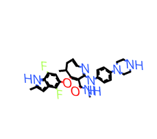 CNC(=O)C1=C(\Oc2cc(F)c3[nH]c(C)cc3c2F)C(C)C/C=C/N=C\1Nc1ccc(N2CCNCC2)cc1